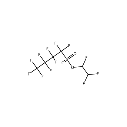 O=S(=O)(OC(F)C(F)F)C(F)(F)C(F)(F)C(F)(F)C(F)(F)F